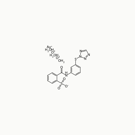 O.O.O.O.O.O=C(Nc1cccc(Sn2ncnn2)c1)c1ccccc1S(=O)(=O)[O-].[Au+]